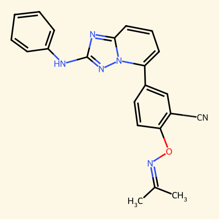 CC(C)=NOc1ccc(-c2cccc3nc(Nc4ccccc4)nn23)cc1C#N